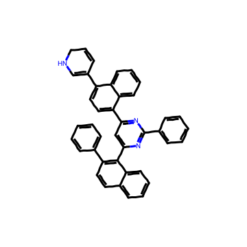 C1=CC(c2ccc(-c3cc(-c4c(-c5ccccc5)ccc5ccccc45)nc(-c4ccccc4)n3)c3ccccc23)=CNC1